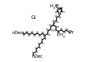 CCCCCCCCCCCCCCCCCCC(CCCCCCCCCCCCCCCCCC)CCCCC(CCC(C)CCCC(C)C)SCCCn1cc[n+](C)c1.[Cl-]